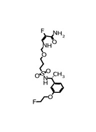 C[C@@H](NS(=O)(=O)CCCOCN/C=C(/F)C(N)=O)c1cccc(OCCF)c1